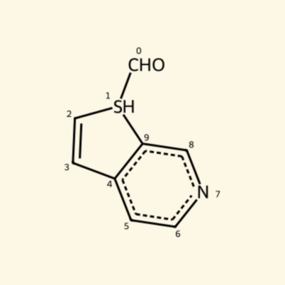 O=C[SH]1C=Cc2ccncc21